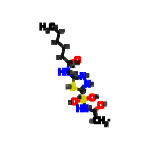 [CH2]C(=O)NS(=O)(=O)c1nnc(NC(=O)CCCCC)s1